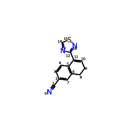 N#Cc1ccc2c(c1)CCC=C2c1ncsn1